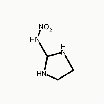 O=[N+]([O-])NC1NCCN1